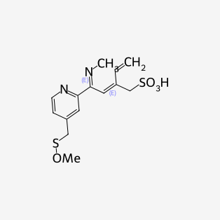 C=C/C(=C\C(=N/C)c1cc(CSOC)ccn1)CS(=O)(=O)O